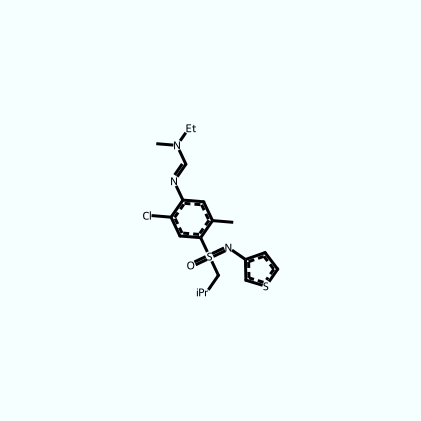 CCN(C)C=Nc1cc(C)c(S(=O)(CC(C)C)=Nc2ccsc2)cc1Cl